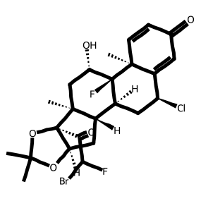 CC1(C)O[C@@H]2C[C@H]3[C@@H]4C[C@H](Cl)C5=CC(=O)C=C[C@]5(C)[C@@]4(F)[C@@H](O)C[C@]3(C)[C@]2(C(=O)C(F)Br)O1